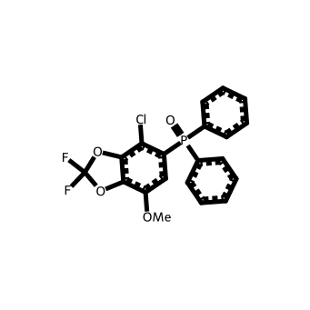 COc1cc(P(=O)(c2ccccc2)c2ccccc2)c(Cl)c2c1OC(F)(F)O2